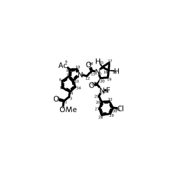 COC(=O)Cc1ccc2c(C(C)=O)cn(CC(=O)N3[C@@H]4C[C@@H]4C[C@H]3C(=O)N(F)Cc3cccc(Cl)c3)c2c1